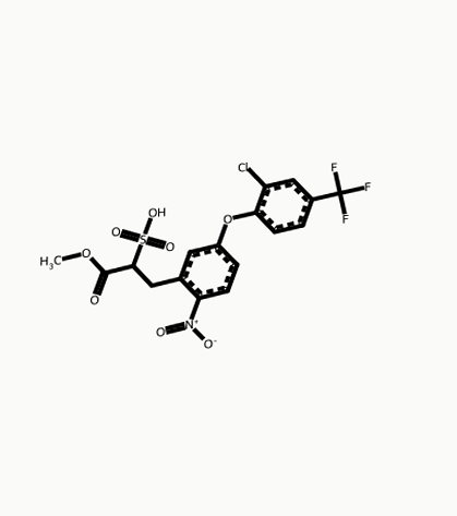 COC(=O)C(Cc1cc(Oc2ccc(C(F)(F)F)cc2Cl)ccc1[N+](=O)[O-])S(=O)(=O)O